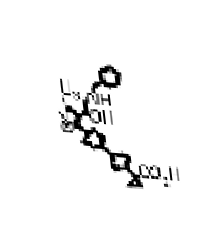 Cc1noc(-c2ccc(-c3ccc(C4(C(=O)O)CC4)cc3)cc2)c1C(O)CNCc1ccccc1